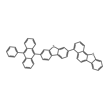 c1ccc(-c2c3ccccc3c(-c3ccc4c(c3)sc3cc(-c5cccc6c5ccc5c7ccccc7sc65)ccc34)c3ccccc23)cc1